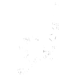 CC[C@H]1OC(=O)[C@H](C)[C@H](O[C@@H]2CC(C)(OC)[C@H](O)[C@H](C)O2)[C@H](C)[C@H](O[C@@H]2O[C@H](C)C[C@H](N(C)Cc3ccc(-c4cn(CCCCCC(C)=O)nn4)cc3)[C@@H]2O)[C@](C)(O)C[C@@H](C)CN(C)[C@H](C)[C@@H](O)[C@]1(C)O